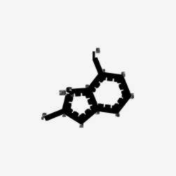 [CH2]c1cc2cccc(I)c2s1